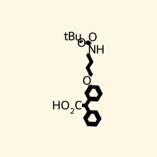 CC(C)(C)OC(=O)NCCCCOc1cccc(C(C(=O)O)c2ccccc2)c1